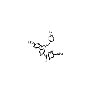 N#Cc1cnc(Nc2cc(NCC3CCNCC3)c(-c3ccc(S)cc3)cn2)cn1